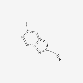 N#Cc1cn2cc(I)ncc2n1